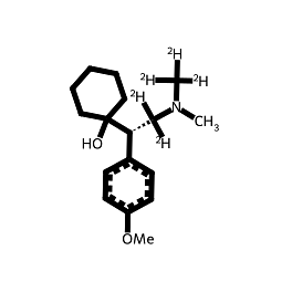 [2H]C([2H])([2H])N(C)C([2H])([2H])[C@H](c1ccc(OC)cc1)C1(O)CCCCC1